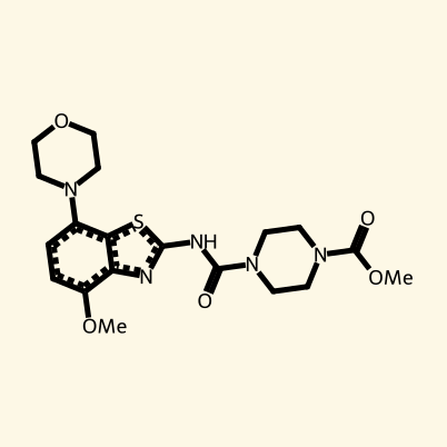 COC(=O)N1CCN(C(=O)Nc2nc3c(OC)ccc(N4CCOCC4)c3s2)CC1